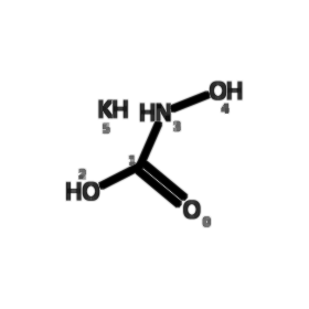 O=C(O)NO.[KH]